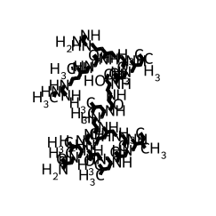 CCC(C)C(CNCC(=O)NC(CNCC(=O)NC(CNCC(N)=O)CC(C)C)CC(C)C)NC(=O)CNCC(CCCNC(=N)N)NC(=O)CNCC(CC(C)C)NC(=O)CNCC(NC(=O)CNCC(CC(C)C)NC(=O)CNCC(CCCNC(=N)N)NC(=O)CNCC(CCCNC(=N)NC)NC)C(C)O